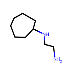 NCCNC1CCCCCC1